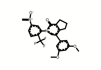 C=[N+]([O-])c1ccc(C(F)(F)F)c(-n2cc(-c3cc(OC)cc(OC)c3)c3c(c2=O)CCC3)c1